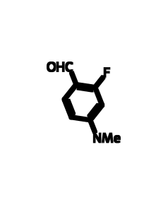 CNc1ccc(C=O)c(F)c1